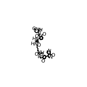 COc1cc(-c2cn(C)c(=O)c3cnccc23)cc(OC)c1CN(C)CC(=O)NCCCC(=O)NC12CC1(Nc1cccc(C=O)c1C(=O)N(C)C1CCC(=O)NC1=O)C2